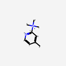 Cc1ccnc([N+](C)(C)C)c1